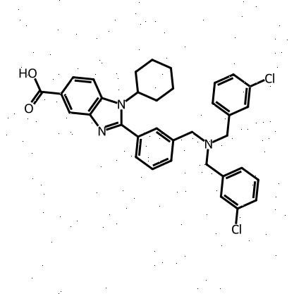 O=C(O)c1ccc2c(c1)nc(-c1cccc(CN(Cc3cccc(Cl)c3)Cc3cccc(Cl)c3)c1)n2C1CCCCC1